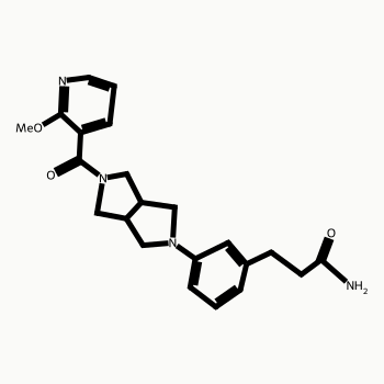 COc1ncccc1C(=O)N1CC2CN(c3cccc(CCC(N)=O)c3)CC2C1